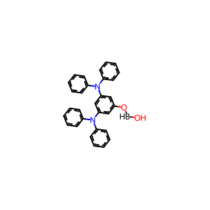 OBOc1cc(N(c2ccccc2)c2ccccc2)cc(N(c2ccccc2)c2ccccc2)c1